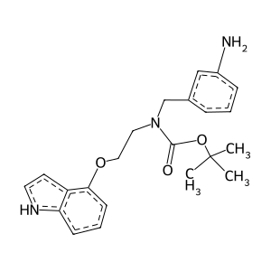 CC(C)(C)OC(=O)N(CCOc1cccc2[nH]ccc12)Cc1cccc(N)c1